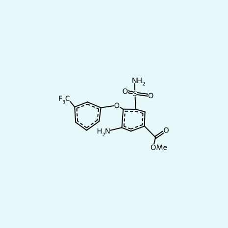 COC(=O)c1cc(N)c(Oc2cccc(C(F)(F)F)c2)c(S(N)(=O)=O)c1